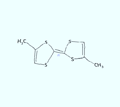 CC1=CS/C(=C2/SC=C(C)S2)S1